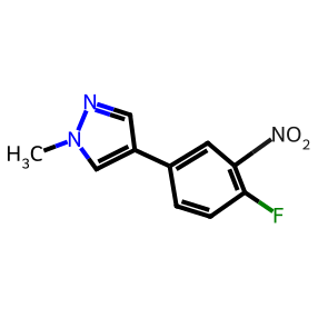 Cn1cc(-c2ccc(F)c([N+](=O)[O-])c2)cn1